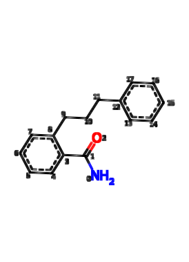 NC(=O)c1ccccc1CCCc1ccccc1